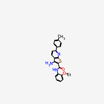 CCOc1ccccc1NC(=O)c1sc2nc(-c3ccc(C)cc3)ccc2c1N